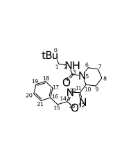 CC(C)(C)CNC(=O)N1CCCCC1c1noc(Cc2ccccc2)n1